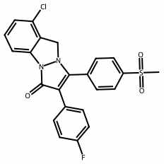 CS(=O)(=O)c1ccc(-c2c(-c3ccc(F)cc3)c(=O)n3n2Cc2c(Cl)cccc2-3)cc1